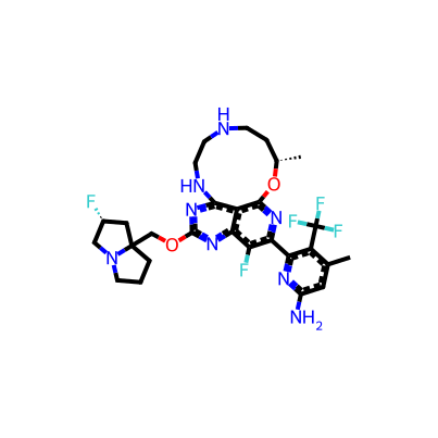 Cc1cc(N)nc(-c2nc3c4c(nc(OCC56CCCN5C[C@H](F)C6)nc4c2F)NCCNCC[C@H](C)O3)c1C(F)(F)F